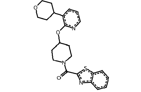 O=C(c1nc2ccccc2s1)N1CCC(Oc2ncccc2C2CCOCC2)CC1